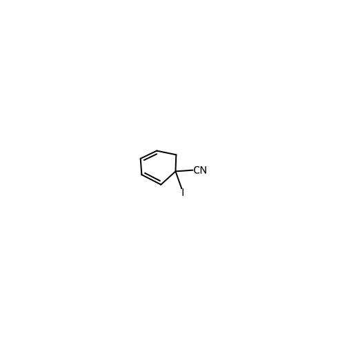 N#CC1(I)C=CC=CC1